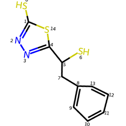 Sc1nnc(C(S)Cc2ccccc2)s1